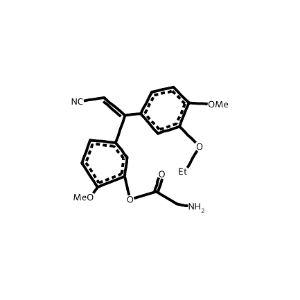 CCOc1cc(C(=CC#N)c2ccc(OC)c(OC(=O)CN)c2)ccc1OC